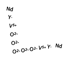 [Nd].[Nd].[O-2].[O-2].[O-2].[O-2].[O-2].[V+5].[V+5].[Y].[Y]